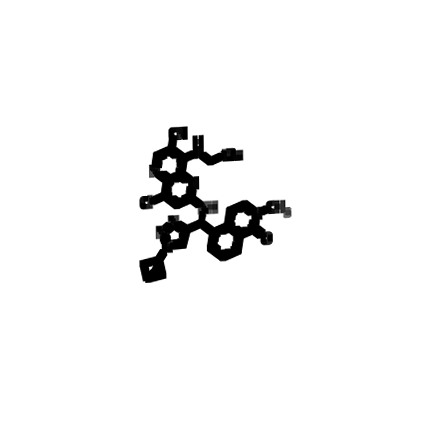 Cn1ccc2c([C@H](Nc3cc(Cl)c4ncc(C#N)c(NCC(C)(C)C)c4n3)c3cn(C45CC(C4)C5)nn3)cccc2c1=O